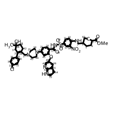 COC(=O)C1CCC(CNc2ccc(S(=O)(=O)NC(=O)c3ccc(N4CCN(CC5=C(c6ccc(Cl)cc6)CC(C)(C)CC5)CC4)cc3Oc3cnc4[nH]ccc4c3)cc2[N+](=O)[O-])CC1